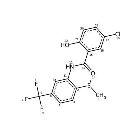 CSc1ccc(C(F)(F)F)cc1NC(=O)c1cc(Cl)ccc1O